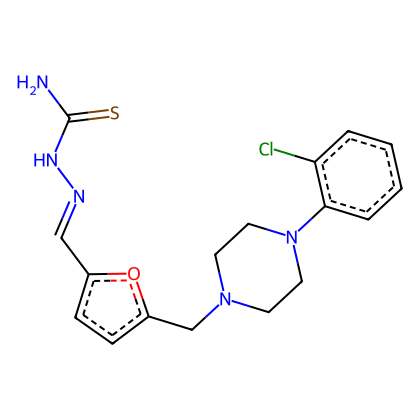 NC(=S)NN=Cc1ccc(CN2CCN(c3ccccc3Cl)CC2)o1